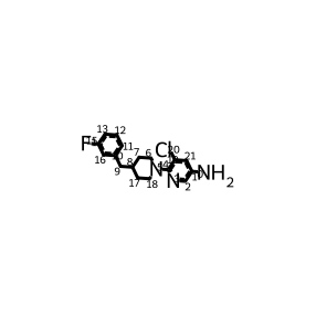 Nc1cnc(N2CCC(Cc3cccc(F)c3)CC2)c(Cl)c1